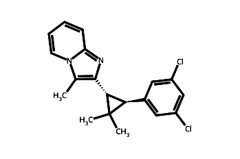 Cc1c([C@@H]2[C@@H](c3cc(Cl)cc(Cl)c3)C2(C)C)nc2ccccn12